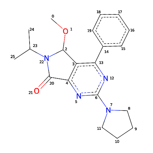 COC1c2c(nc(N3CCCC3)nc2-c2ccccc2)C(=O)N1C(C)C